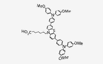 COc1ccc(N(c2ccc(OC)cc2)c2ccc(-c3ccc4c(c3)Sc3cc(-c5ccc(N(c6ccc(OC)cc6)c6ccc(OC)cc6)cc5)ccc3N4CCCCCCC(=O)O)cc2)cc1